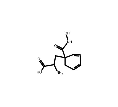 NC(CC1(C(=O)NO)C=CC=CC1)C(=O)O